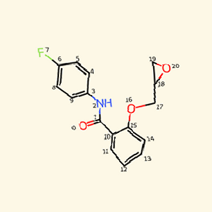 O=C(Nc1ccc(F)cc1)c1ccccc1OCC1CO1